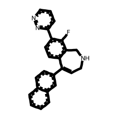 Fc1c(-c2cccnn2)ccc2c1CNCC=C2c1ccc2ccccc2c1